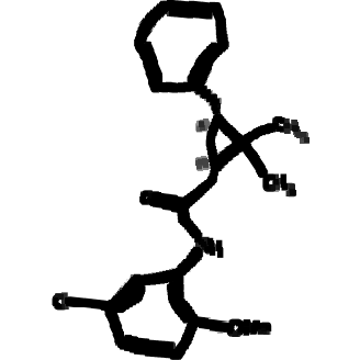 COc1ccc(Cl)cc1NC(=O)[C@H]1[C@H](c2ccccc2)C1(C)C